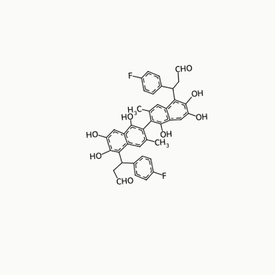 Cc1cc2c(C(CC=O)c3ccc(F)cc3)c(O)c(O)cc2c(O)c1-c1c(C)cc2c(C(CC=O)c3ccc(F)cc3)c(O)c(O)cc2c1O